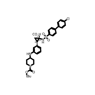 CC(C)(C)OC(=O)N1CCC(Nc2cccc([C@H]3C[C@@]3(NS(=O)(=O)c3ccc(-c4ccc(Cl)cc4)cc3)C(=O)O)c2)CC1